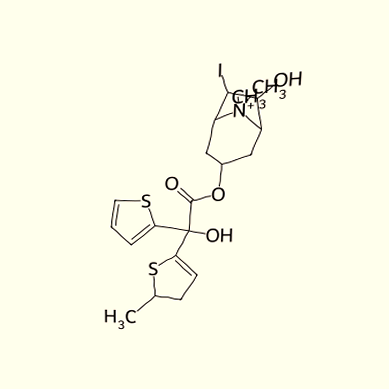 CC1CC=C(C(O)(C(=O)OC2CC3C(O)C(I)C(C2)[N+]3(C)C)c2cccs2)S1